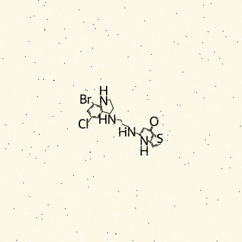 O=c1cc(NCCCNC2CCNc3c(Br)cc(Cl)cc32)[nH]c2ccsc12